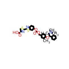 Cc1cc(COC(=O)Oc2ccc3nc(C4=N[C@@H](C(=O)O)CS4)sc3c2)ccc1OC(c1ccccc1)C(C)N(C)C